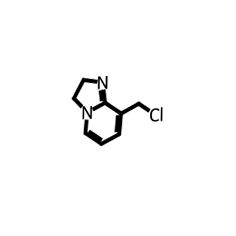 ClCC1=CC=CN2CCN=C12